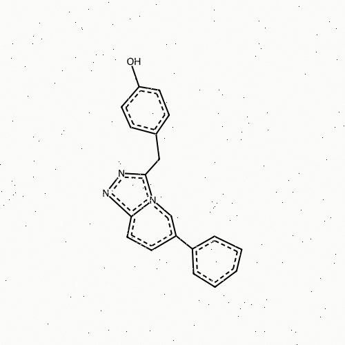 Oc1ccc(Cc2nnc3ccc(-c4ccccc4)cn23)cc1